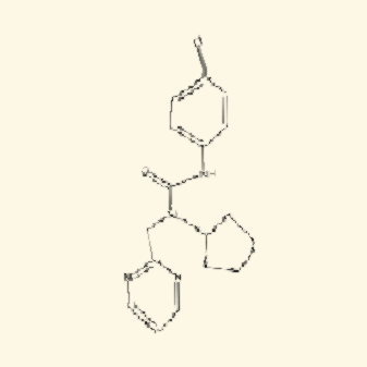 O=C(Nc1ccc(Cl)cc1)N(Cc1ncccn1)C1CCCC1